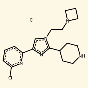 Cl.Clc1cccc(-c2cn(CCN3CCC3)c(C3CCNCC3)n2)n1